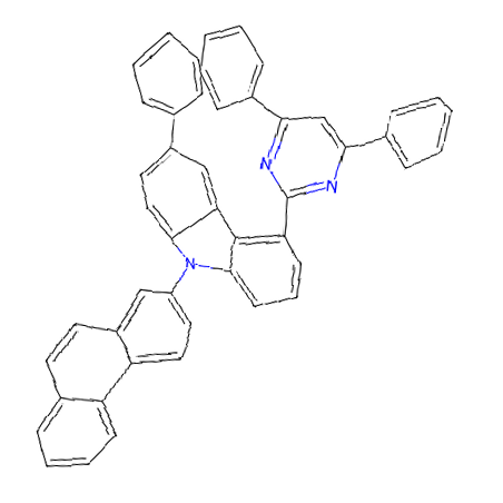 c1ccc(-c2ccc3c(c2)c2c(-c4nc(-c5ccccc5)cc(-c5ccccc5)n4)cccc2n3-c2ccc3c(ccc4ccccc43)c2)cc1